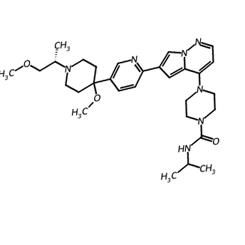 COC[C@H](C)N1CCC(OC)(c2ccc(-c3cc4c(N5CCN(C(=O)NC(C)C)CC5)ccnn4c3)nc2)CC1